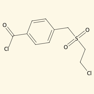 O=C(Cl)c1ccc(CS(=O)(=O)CCCl)cc1